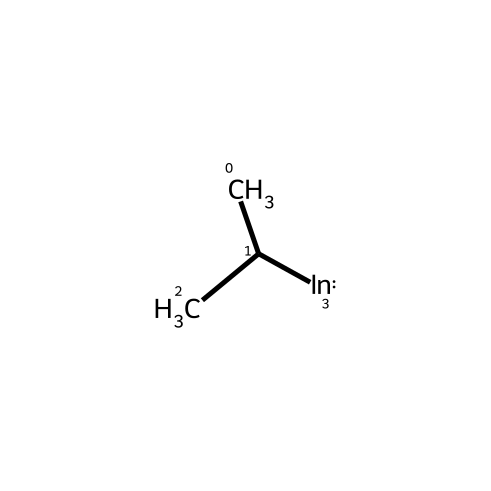 C[CH](C)[In]